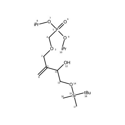 C=C(COCP(=O)(OC(C)C)OC(C)C)C(O)CO[Si](C)(C)C(C)(C)C